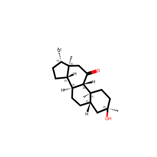 CC(=O)[C@H]1CC[C@H]2[C@@H]3CC[C@H]4C[C@](C)(O)CC[C@]4(C)[C@H]3C(=O)C[C@]12C